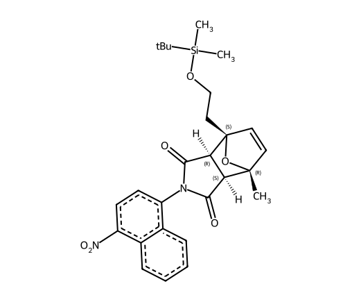 CC(C)(C)[Si](C)(C)OCC[C@@]12C=C[C@@](C)(O1)[C@H]1C(=O)N(c3ccc([N+](=O)[O-])c4ccccc34)C(=O)[C@H]12